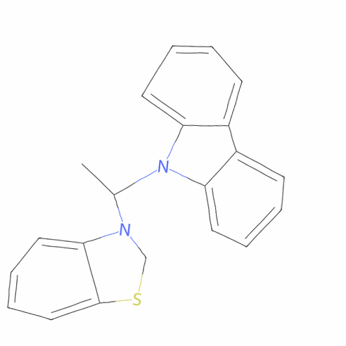 CC(N1CSc2ccccc21)n1c2ccccc2c2ccccc21